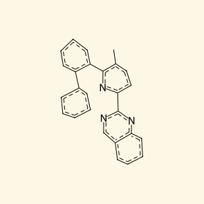 Cc1ccc(-c2ncc3ccccc3n2)nc1-c1ccccc1-c1ccccc1